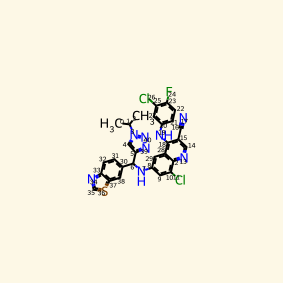 CC(C)n1cc(C(Nc2cc(Cl)c3ncc(C#N)c(Nc4ccc(F)c(Cl)c4)c3c2)c2ccc3ncsc3c2)nn1